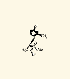 CCC(C)SP(=O)(NC)N(C)C=Nc1ccc(Cl)cc1C